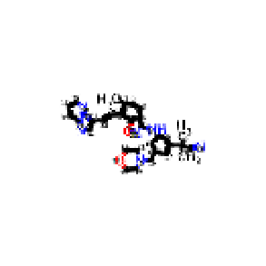 Cc1ccc2c(Nc3cc(CN4CCOCC4)cc(C(C)(C)C#N)c3)noc2c1C#Cc1cnc2cccnn12